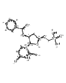 O=C(OC1C[C@@H](OCP(=O)(O)O)O[C@H]1n1ccc(=O)[nH]c1=O)c1ccccc1